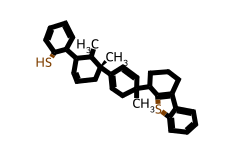 CC1C(C2C=CC=CC2S)C=CC[C@@]1(C)C1=CCC(C)(C2CCCc3c2sc2ccccc32)C=C1